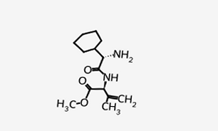 C=C(C)[C@H](NC(=O)[C@@H](N)C1CCCCC1)C(=O)OC